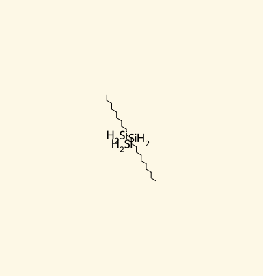 CCCCCCCCC[SiH2][SiH2][SiH2]CCCCCCCCC